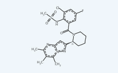 Cc1nc2cc([C@@H]3CCCCN3C(=O)c3cc(F)cc(Cl)c3NS(C)(=O)=O)nn2c(C)c1C